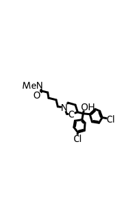 CNC(=O)CCCCN1CCC(C(O)(c2ccc(Cl)cc2)c2ccc(Cl)cc2)CC1